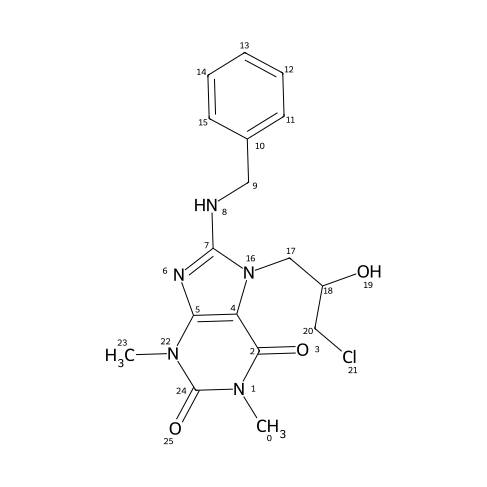 Cn1c(=O)c2c(nc(NCc3ccccc3)n2CC(O)CCl)n(C)c1=O